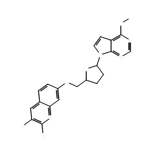 COc1ncnc2c1ccn2C1CCC(COc2ccc3cc(Br)c(N)nc3c2)O1